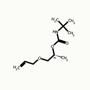 C=CCOC[C@@H](C)OC(=O)NC(C)(C)C